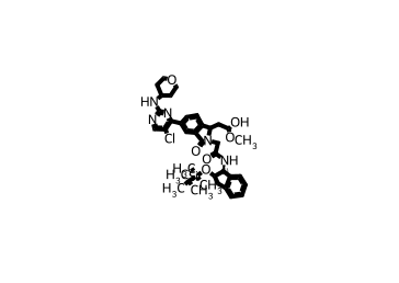 COC(O)CC1c2ccc(-c3nc(NC4CCOCC4)ncc3Cl)cc2C(=O)N1CC(=O)N[C@H]1c2ccccc2CC1O[Si](C)(C)C(C)(C)C